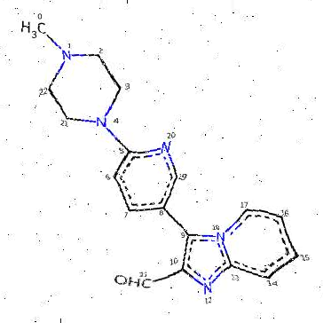 CN1CCN(c2ccc(-c3c(C=O)nc4ccccn34)cn2)CC1